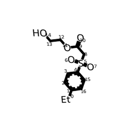 CCc1ccc(S(=O)(=O)CC(=O)OCCO)cc1